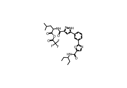 CCC(CC)NC(=O)c1cnc(-c2cccc(-c3cc(C(=O)NC(CC(C)C)C(=O)OC(=O)C(F)(F)F)n[nH]3)c2)o1